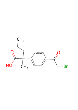 CCCC(C)(C(=O)O)c1ccc(C(=O)CBr)cc1